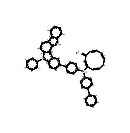 C=C1/C=C\C=C/C/C=C\C(N(c2ccc(-c3ccccc3)cc2)c2ccc(-c3ccc4c(c3)c3c5sc6ccccc6c5ccc3n4-c3ccccc3)cc2)=C/1